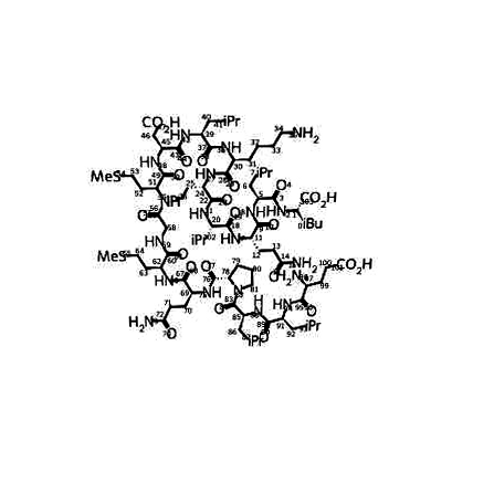 CC[C@H](C)[C@H](NC(=O)[C@H](CC(C)C)NC(=O)[C@H](CCC(N)=O)NC(=O)[C@@H](NC(=O)[C@H](CC(C)C)NC(=O)[C@H](CCCCN)NC(=O)[C@H](CC(C)C)NC(=O)[C@H](CC(=O)O)NC(=O)[C@H](CCSC)NC(=O)CNC(=O)[C@H](CCSC)NC(=O)[C@H](CCC(N)=O)NC(=O)[C@@H]1CCCN1C(=O)[C@H](CC(C)C)NC(=O)[C@H](CC(C)C)NC(=O)[C@@H](N)CCC(=O)O)C(C)C)C(=O)O